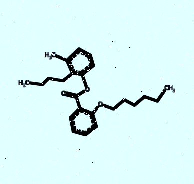 CCCCCCOc1ccccc1C(=O)Oc1cccc(C)c1CCCC